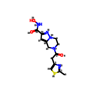 Cc1nc(CC(=O)N2CCn3nc(C(=O)NO)cc3C2)cs1